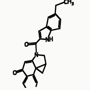 CCc1ccc2[nH]c(C(=O)N3CC4CC45C3=CC(=O)c3ccccc35)cc2c1